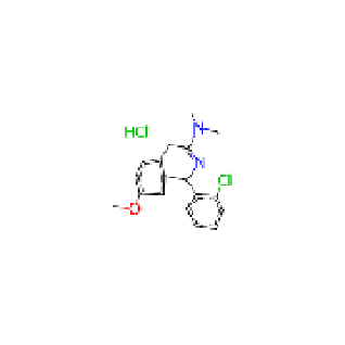 COc1ccc2c(c1)C(c1ccccc1Cl)N=C(N(C)C)C2.Cl